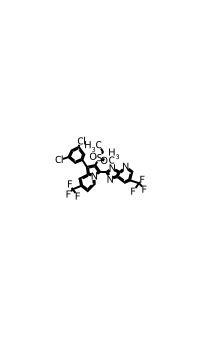 CCS(=O)(=O)c1c(-c2cc(Cl)cc(Cl)c2)c2cc(C(F)(F)F)ccn2c1-c1nc2cc(C(F)(F)F)cnc2n1C